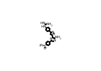 CC(C)[S+]([O-])c1ccc(-c2cnc(N)c(-c3cc(-c4ccc(NC(=N)N)cc4)no3)n2)cc1